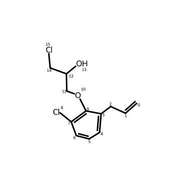 C=CCc1cccc(Cl)c1OCC(O)CCl